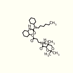 CCCCCCN(C(=O)NC1CCCCC1OC(=O)CCNC(=O)C1OC(C)(C)OCC1(C)C)C1CCCCC1